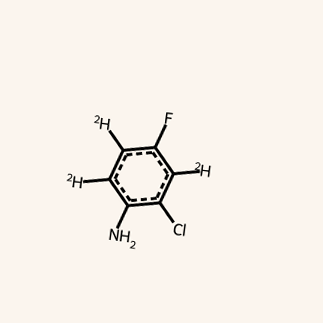 [2H]c1c([2H])c(F)c([2H])c(Cl)c1N